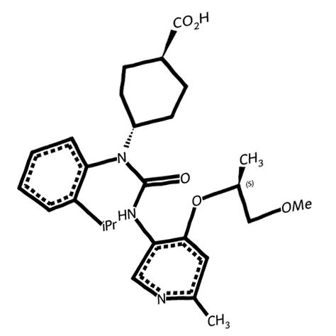 COC[C@H](C)Oc1cc(C)ncc1NC(=O)N(c1ccccc1C(C)C)[C@H]1CC[C@H](C(=O)O)CC1